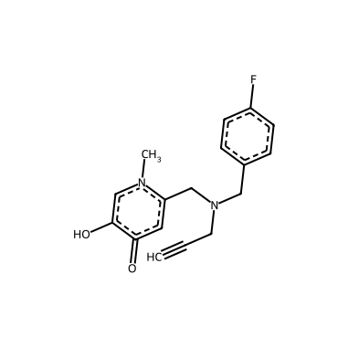 C#CCN(Cc1ccc(F)cc1)Cc1cc(=O)c(O)cn1C